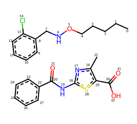 CCCCCONCc1ccccc1Cl.Cc1nc(NC(=O)c2ccccc2)sc1C(=O)O